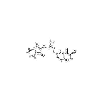 CCCN(CCc1ccc2c(c1)NC(=O)CO2)CCN1C(=O)c2ccccc2C1=O